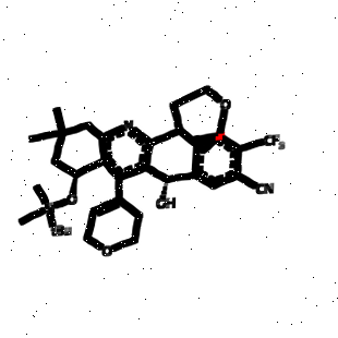 CC1(C)Cc2nc(C3CCOCC3)c([C@@H](O)c3ccc(C(F)(F)F)c(C#N)c3)c(C3=CCOCC3)c2[C@@H](O[Si](C)(C)C(C)(C)C)C1